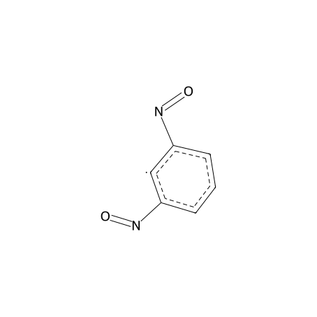 O=Nc1[c]c(N=O)ccc1